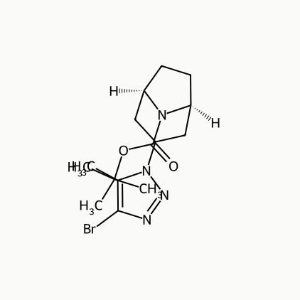 Cc1c(Br)nnn1C1C[C@H]2CC[C@@H](C1)N2C(=O)OC(C)(C)C